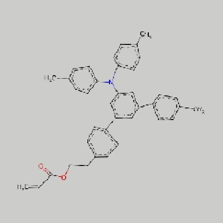 C=CC(=O)OCCc1ccc(-c2cc(-c3ccc(C)cc3)cc(N(c3ccc(C)cc3)c3ccc(C)cc3)c2)cc1